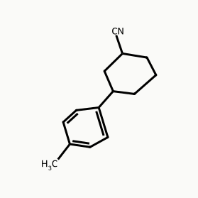 Cc1ccc(C2CCCC(C#N)C2)cc1